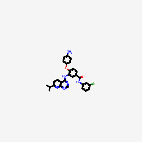 CC(C)c1ccc2c(Nc3cc(C(=O)Nc4cccc(Br)c4)ccc3Oc3ccc(N)cc3)ncnc2n1